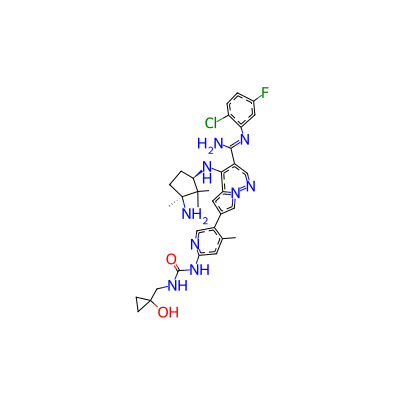 Cc1cc(NC(=O)NCC2(O)CC2)ncc1-c1cc2c(N[C@@H]3CC[C@](C)(N)C3(C)C)c(/C(N)=N/c3cc(F)ccc3Cl)cnn2c1